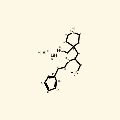 NCC(CC1(CO)CCNCC1)OCCc1ccccc1.[AlH3].[LiH]